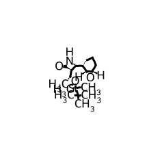 C[C@@H](O[Si](C)(C)C(C)(C)C)[C@H]1C(=O)N[C@@H]1[C@@H]1CCC[C@@H]2O[C@H]12